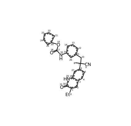 CCc1cc2ccc(C(C)(C#N)Cc3cccc(NC(=O)Oc4ccccc4)c3)cc2[nH]c1=O